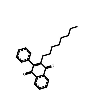 CCCCCCCCC1=C(c2ccccc2)C(=O)c2ccccc2C1=O